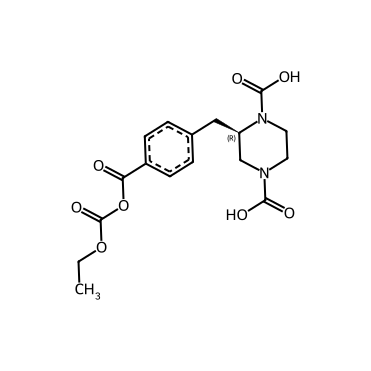 CCOC(=O)OC(=O)c1ccc(C[C@@H]2CN(C(=O)O)CCN2C(=O)O)cc1